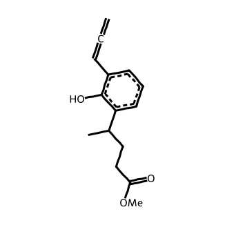 C=C=Cc1cccc(C(C)CCC(=O)OC)c1O